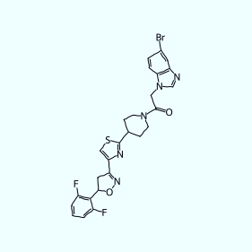 O=C(Cn1cnc2cc(Br)ccc21)N1CCC(c2nc(C3=NOC(c4c(F)cccc4F)C3)cs2)CC1